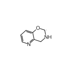 [CH]1NCc2ncccc2O1